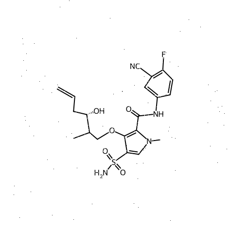 C=CC[C@H](O)C(C)COc1c(S(N)(=O)=O)cn(C)c1C(=O)Nc1ccc(F)c(C#N)c1